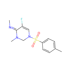 CN=C1C(F)=CN(S(=O)(=O)c2ccc(C)cc2)CN1C